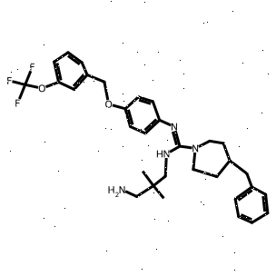 CC(C)(CN)CN/C(=N\c1ccc(OCc2cccc(OC(F)(F)F)c2)cc1)N1CCC(Cc2ccccc2)CC1